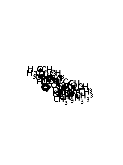 CC[C@H](C)[C@@H]([C@@H](CC(=O)N1CCC[C@H]1[C@H](OC)[C@@H](C)C(=O)N[C@@H](Cc1ccccc1)C(=O)OC(C)(C)C)OC)N(C)C(=O)[C@@H](NC(=O)[C@H](C(C)C)N(C)C(C)C)C(C)C